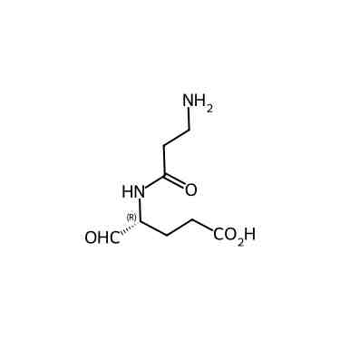 NCCC(=O)N[C@@H](C=O)CCC(=O)O